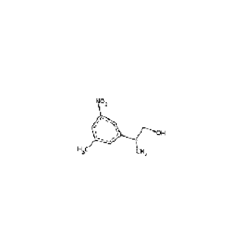 C[C](CO)c1cc(C)cc([N+](=O)[O-])c1